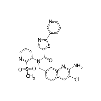 CS(=O)(=O)c1ncccc1N(Cc1ccc2cc(Cl)c(N)nc2c1)C(=O)c1cnc(-c2cccnc2)s1